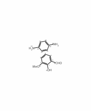 COc1cccc(C=O)c1O.Nc1ccc(N)cc1